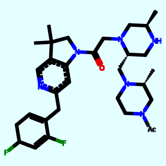 CC(=O)N1CCN(C[C@H]2CN[C@H](C)CN2CC(=O)N2CC(C)(C)c3cnc(CC4=CCC(F)C=C4F)cc32)[C@H](C)C1